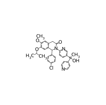 COc1cc2c(cc1OC(C)C)C(c1ccc(Cl)cc1)N(c1ccc([C@@](C)(O)c3ccncc3)cn1)C(=O)C2